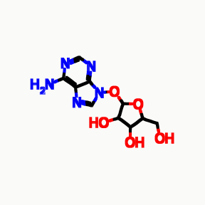 Nc1ncnc2c1ncn2OC1OC(CO)C(O)C1O